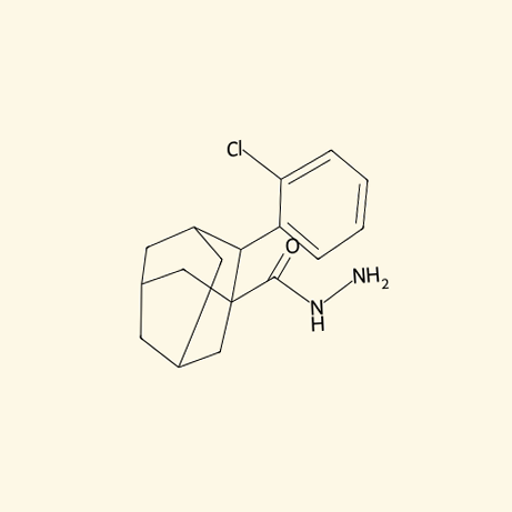 NNC(=O)C12CC3CC(CC(C3)C1c1ccccc1Cl)C2